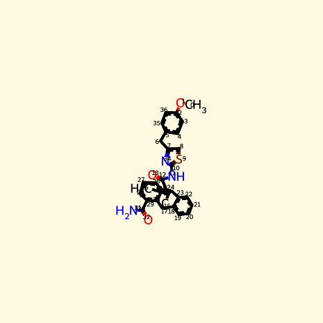 COc1ccc(Cc2csc(NC(=O)C3(C)CC4c5ccccc5C3c3cccc(C(N)=O)c34)n2)cc1